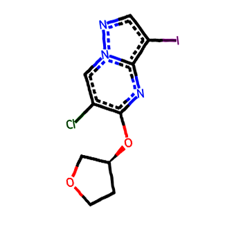 Clc1cn2ncc(I)c2nc1O[C@H]1CCOC1